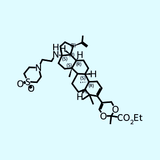 C=C(C)[C@@H]1CC[C@]2(NCCN3CCS(=O)(=O)CC3)CC[C@@]3(C)C4CC[C@H]5C(C)(C)C(C6=COC(C)(C(=O)OCC)OC6)=CC[C@]5(C)[C@H]4CC[C@@H]3[C@@H]12